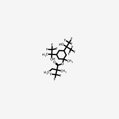 CCC(C)(C(=O)OC1(C)CC(C(C)(O)C(F)(F)F)CC(C(O)(C(F)(F)F)C(F)(F)F)C1)C(F)(F)F